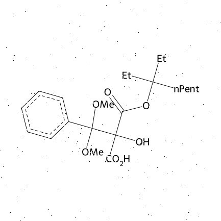 CCCCCC(CC)(CC)OC(=O)C(O)(C(=O)O)C(OC)(OC)c1ccccc1